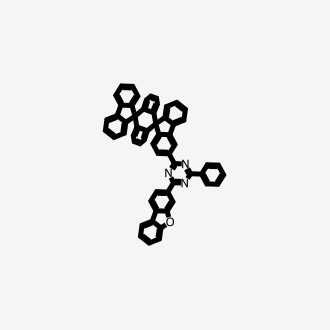 c1ccc(-c2nc(-c3ccc4c(c3)-c3ccccc3C43c4ccccc4C4(c5ccccc5-c5ccccc54)c4ccccc43)nc(-c3ccc4c(c3)oc3ccccc34)n2)cc1